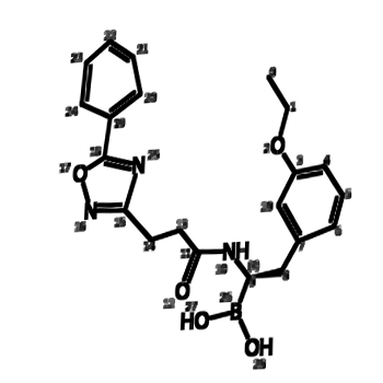 CCOc1cccc(C[C@H](NC(=O)CCc2noc(-c3ccccc3)n2)B(O)O)c1